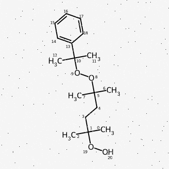 CC(C)(CCC(C)(C)OOC(C)(C)c1ccccc1)OO